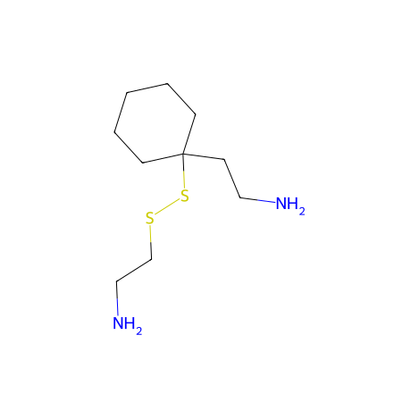 NCCSSC1(CCN)CCCCC1